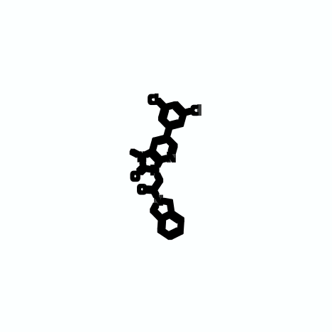 Cn1c(=O)n(CC(=O)N2Cc3ccccc3C2)c2ncc(-c3cc(Cl)cc(Cl)c3)cc21